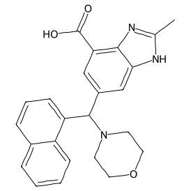 Cc1nc2c(C(=O)O)cc(C(c3cccc4ccccc34)N3CCOCC3)cc2[nH]1